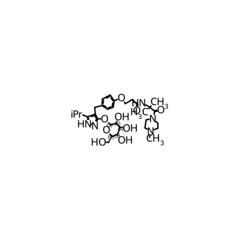 CC(C)c1[nH]nc(O[C@@H]2O[C@H](CO)[C@@H](O)[C@H](O)[C@H]2O)c1Cc1ccc(OCCC(=O)NC(C)(C)C(=O)N2CCN(C)CC2)cc1